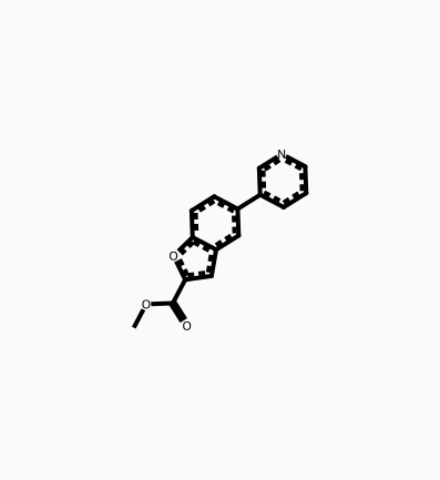 COC(=O)c1cc2cc(-c3cccnc3)ccc2o1